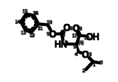 CC(C)OC[C@@H](NC(=O)OCc1ccccc1)C(=O)O